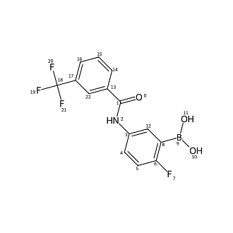 O=C(Nc1ccc(F)c(B(O)O)c1)c1cccc(C(F)(F)F)c1